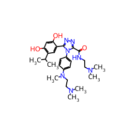 CC(C)c1cc(-c2nnc(C(=O)NCCN(C)C)n2-c2ccc(N(C)CCN(C)C)cc2)c(O)cc1O